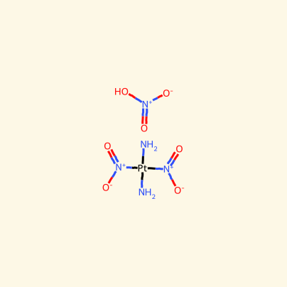 O=[N+]([O-])O.[NH2][Pt]([NH2])([N+](=O)[O-])[N+](=O)[O-]